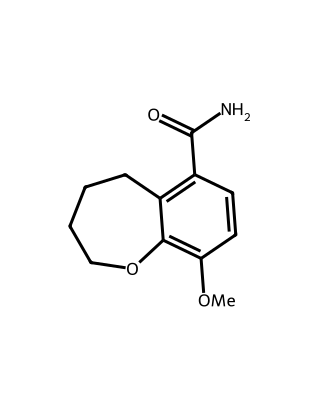 COc1ccc(C(N)=O)c2c1OCCCC2